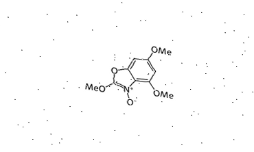 COc1cc(OC)c2c(c1)oc(OC)[n+]2[O-]